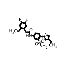 CCc1cnn(-c2ccc(NC(=O)Cc3cc(F)c(F)cc3CC)cc2S(N)(=O)=O)c1